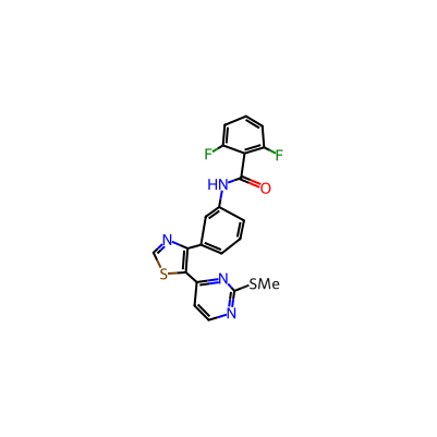 CSc1nccc(-c2scnc2-c2cccc(NC(=O)c3c(F)cccc3F)c2)n1